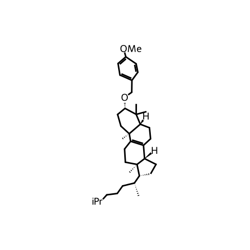 COc1ccc(CO[C@H]2CC[C@]3(C)C4=C(CC[C@H]3C2(C)C)[C@@H]2CC[C@H]([C@H](C)CCCC(C)C)[C@@]2(C)CC4)cc1